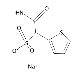 [NH]C(=O)C(c1cccs1)S(=O)(=O)[O-].[Na+]